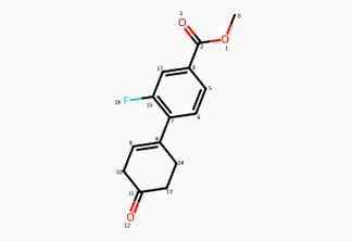 COC(=O)c1ccc(C2=CCC(=O)CC2)c(F)c1